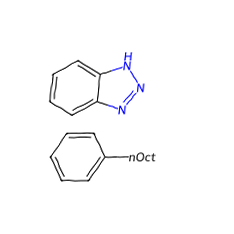 CCCCCCCCc1ccccc1.c1ccc2[nH]nnc2c1